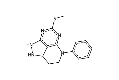 CSc1nc2c3c(n1)N(c1ccccc1)CCC3NN2